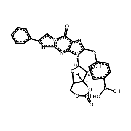 O=c1c2nc(Sc3ccc(B(O)O)cc3)n([C@@H]3OC4CO[PH](=O)O[C@H]4[C@@H]3O)c2nc2[nH]c(-c3ccccc3)cn12